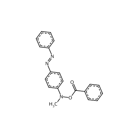 CN(OC(=O)c1ccccc1)c1ccc(N=Nc2ccccc2)cc1